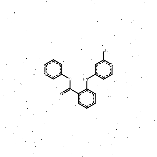 O=C(Oc1cccnc1)c1ccccc1Nc1ccnc(C(F)(F)F)c1